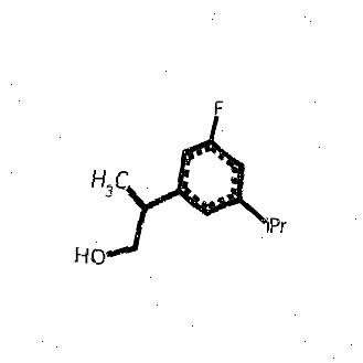 C[C](CO)c1cc(F)cc(C(C)C)c1